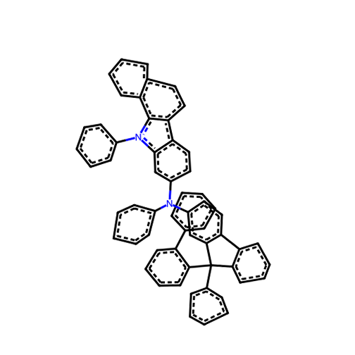 c1ccc(-c2ccccc2C2(c3ccccc3)c3ccccc3-c3ccc(N(c4ccccc4)c4ccc5c6ccc7ccccc7c6n(-c6ccccc6)c5c4)cc32)cc1